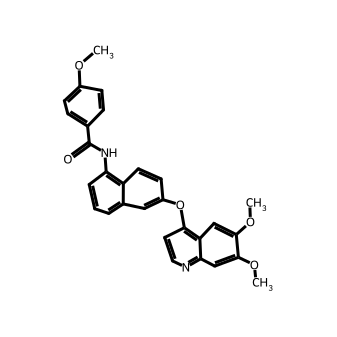 COc1ccc(C(=O)Nc2cccc3cc(Oc4ccnc5cc(OC)c(OC)cc45)ccc23)cc1